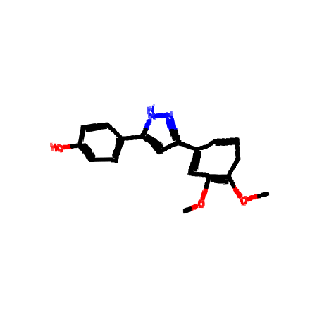 COC1=C(OC)CC=CC(c2cc(-c3ccc(O)cc3)[nH]n2)=C1